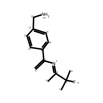 C=C(/N=C(\C)C(C)(C)F)c1ccc(CN)cc1